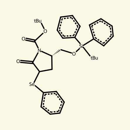 CC(C)(C)OC(=O)N1C(=O)C([Se]c2ccccc2)C[C@H]1CO[Si](c1ccccc1)(c1ccccc1)C(C)(C)C